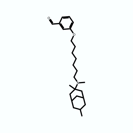 CC1CC2CC(C1)CC(C)(N(C)CCCCCCCOc1cccc(C=O)c1)C2